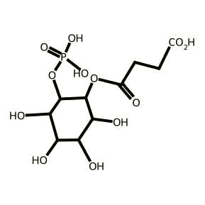 O=C(O)CCC(=O)OC1C(O)C(O)C(O)C(O)C1OP(=O)(O)O